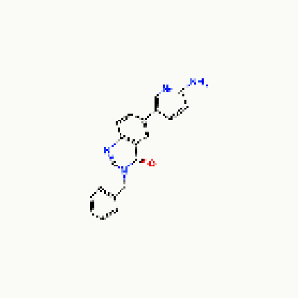 Nc1ccc(-c2ccc3ncn(Cc4ccccc4)c(=O)c3c2)cn1